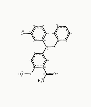 COc1ccc(N(Cc2cccnc2)c2cccc(Cl)c2)cc1C(N)=O